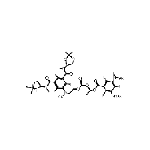 CC(=O)Nc1c(I)c(C(=O)OC(C)OC(=O)OCCN(C(C)=O)c2c(I)c(C(=O)N(C)C3COC(C)(C)O3)c(I)c(C(=O)N(C)C3COC(C)(C)O3)c2I)c(I)c(N(C)C(C)=O)c1I